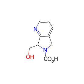 O=C(O)N1Cc2cccnc2C1CO